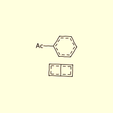 CC(=O)c1ccccc1.c1cc2ccc1-2